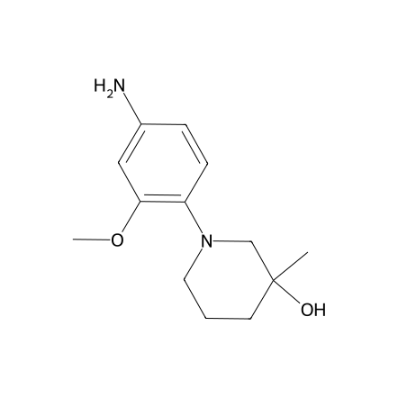 COc1cc(N)ccc1N1CCCC(C)(O)C1